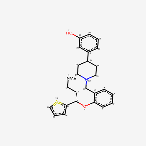 CNCC[C@H](Oc1ccccc1CN1CCC(c2cccc(O)c2)CC1)c1cccs1